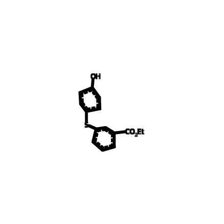 CCOC(=O)c1cccc(Sc2ccc(O)cc2)c1